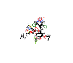 C=CS(=O)(=O)N1CCSC1C(=O)OC(Cc1c(Cl)c[n+]([O-])cc1Cl)c1ccc(OC(F)F)c(OCC2CC2)c1